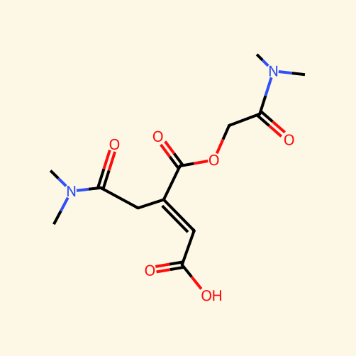 CN(C)C(=O)COC(=O)C(=CC(=O)O)CC(=O)N(C)C